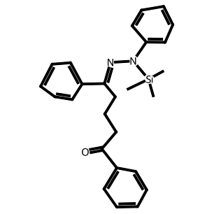 C[Si](C)(C)N(/N=C(\CCCC(=O)c1ccccc1)c1ccccc1)c1ccccc1